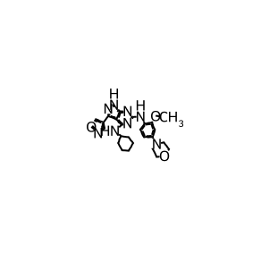 COc1cc(N2CCOCC2)ccc1Nc1nc(NC2CCCCC2)c2c(-c3cnoc3)n[nH]c2n1